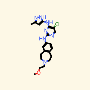 COCCN1CCc2ccc(Nc3ncc(Cl)c(Nc4cc(C)n[nH]4)n3)cc2CC1